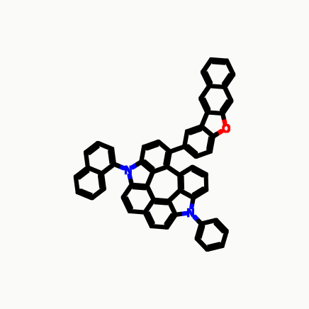 c1ccc(-n2c3cccc4c3c3c5c(ccc32)ccc2c5c3c-4c(-c4ccc5oc6cc7ccccc7cc6c5c4)ccc3n2-c2cccc3ccccc23)cc1